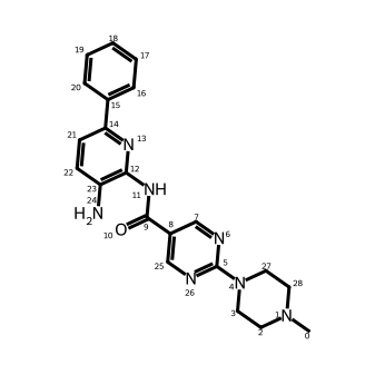 CN1CCN(c2ncc(C(=O)Nc3nc(-c4ccccc4)ccc3N)cn2)CC1